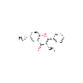 Cc1ccc2oc(-c3ccccc3)c(C)c(=O)c2c1